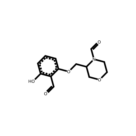 O=Cc1c(O)cccc1OCC1COCCN1C=O